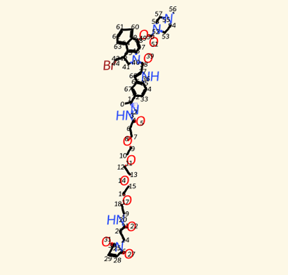 C/C(=N\NC(=O)CCOCCOCCOCCOCCNC(=O)CCN1C(=O)C=CC1=O)c1ccc2[nH]c(C(=O)N3CC(CBr)c4c3cc(OC(=O)N3CCN(C)CC3)c3ccccc43)cc2c1